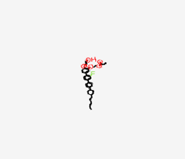 C=CC(=O)OCCOc1cc(-c2ccc(-c3ccc(C4CCC(CCCCC)CC4)cc3)cc2F)ccc1OCCO